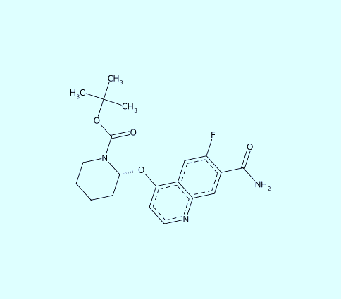 CC(C)(C)OC(=O)N1CCCC[C@H]1Oc1ccnc2cc(C(N)=O)c(F)cc12